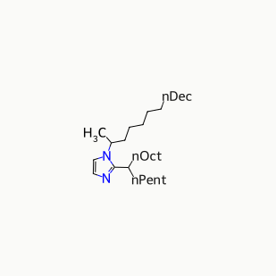 CCCCCCCCCCCCCCCC(C)n1ccnc1C(CCCCC)CCCCCCCC